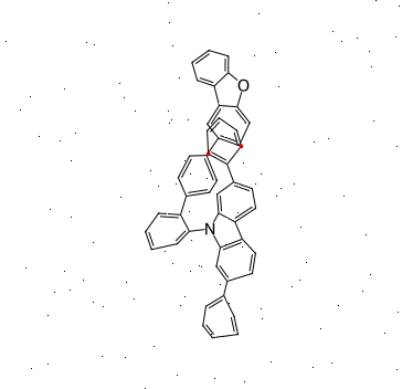 c1ccc(-c2ccc3c4ccc(-c5ccccc5)cc4n(-c4ccccc4-c4ccc(-c5ccc6oc7ccccc7c6c5)cc4)c3c2)cc1